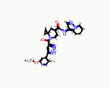 COc1cc(-c2cc(C(=O)N3CCC(C(=O)Nc4cnn5c4CCCC5)CC34CC4)n[nH]2)c(F)cn1